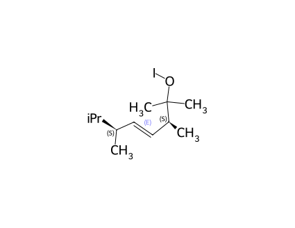 CC(C)[C@H](C)/C=C/[C@H](C)C(C)(C)OI